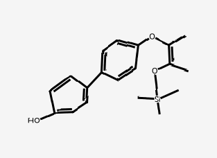 CC(Oc1ccc(-c2ccc(O)cc2)cc1)=C(C)O[Si](C)(C)C